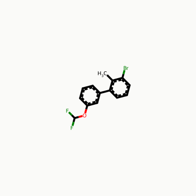 Cc1c(Br)cccc1-c1cccc(OC(F)F)c1